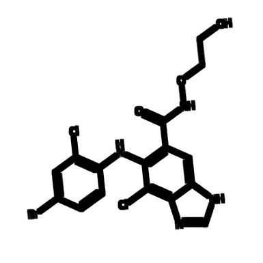 O=C(NOCCO)c1cc2[nH]cnc2c(Cl)c1Nc1ccc(Br)cc1Cl